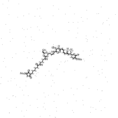 C/C=C\C[C@@H](C/C=C\NC(=O)[C@@H](NC(=O)\C=C/C=C\C(C)=C\[C@H](C)[C@@H]1CC=C(OC)C(=O)O1)C(C)(C)C)OC(=O)NCCCNC(=O)CCCCCN1C(=O)CC(SC)C1=O